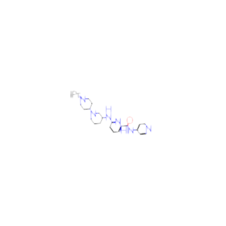 CC(C)N1CCC(N2CCCC(Nc3cccc(C(=O)Nc4ccncc4)n3)C2)CC1